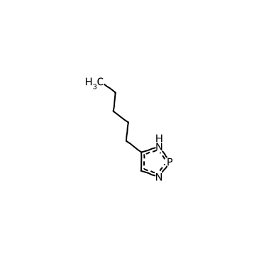 CCCCCc1cnp[nH]1